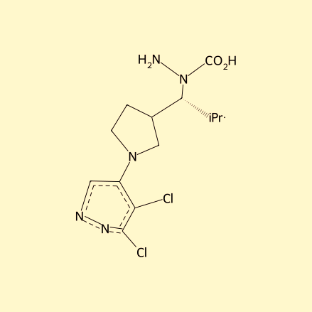 C[C](C)[C@H](C1CCN(c2cnnc(Cl)c2Cl)C1)N(N)C(=O)O